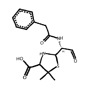 CC1(C)SC([C@@H](C=O)NC(=O)Cc2ccccc2)NC1C(=O)O